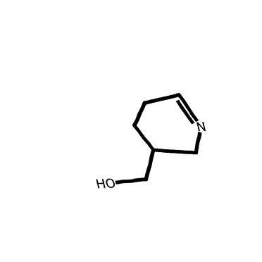 OCC1CCC=NC1